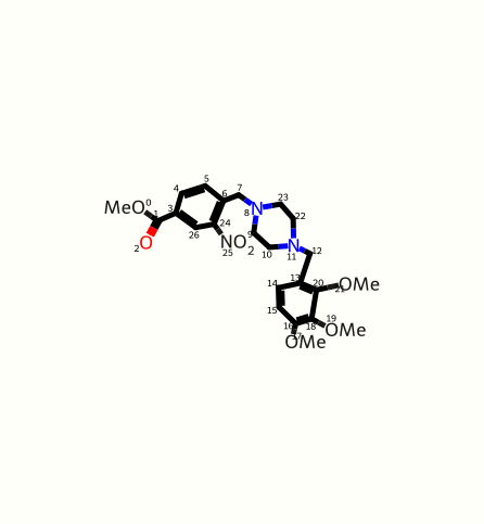 COC(=O)c1ccc(CN2CCN(Cc3ccc(OC)c(OC)c3OC)CC2)c([N+](=O)[O-])c1